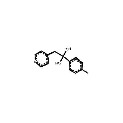 OC(O)(Cc1ccncc1)c1ccc(F)cc1